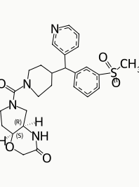 CS(=O)(=O)c1cccc(C(c2cccnc2)C2CCN(C(=O)N3CC[C@@H]4OCC(=O)N[C@@H]4C3)CC2)c1